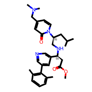 COC(=O)C[C@H](NC[C@H](CC(C)C)n1ccc(CN(C)C)cc1=O)c1cncc(-c2c(C)cccc2C)c1